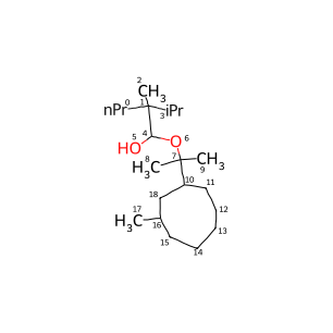 CCCC(C)(C(C)C)C(O)OC(C)(C)C1CCCCCC(C)C1